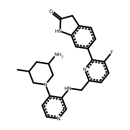 CC1CC(N)CN(c2ccncc2NCc2ccc(F)c(-c3ccc4c(c3)NC(=O)C4)n2)C1